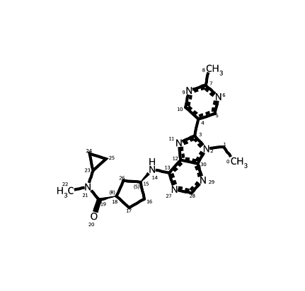 CCn1c(-c2cnc(C)nc2)nc2c(N[C@H]3CC[C@@H](C(=O)N(C)C4CC4)C3)ncnc21